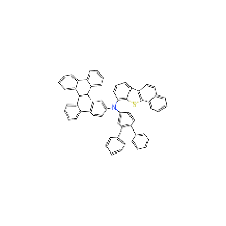 CC1c2ccccc2-c2ccccc2C1c1ccccc1-c1ccc(N(c2ccc(-c3ccccc3)c(-c3ccccc3)c2)c2cccc3c2sc2c4ccccc4ccc32)cc1